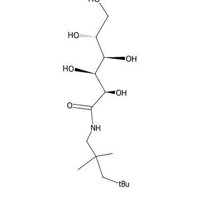 CC(C)(C)CC(C)(C)CNC(=O)[C@H](O)[C@@H](O)[C@H](O)[C@H](O)CO